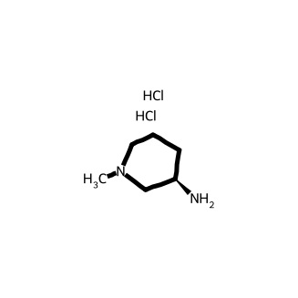 CN1CCC[C@@H](N)C1.Cl.Cl